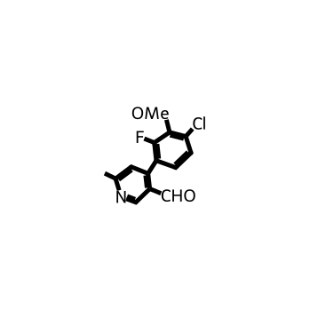 COc1c(Cl)ccc(-c2cc(C)ncc2C=O)c1F